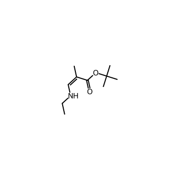 CCNC=C(C)C(=O)OC(C)(C)C